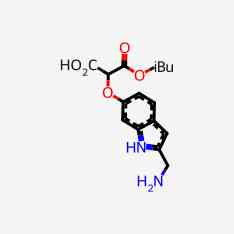 CCC(C)OC(=O)C(Oc1ccc2cc(CN)[nH]c2c1)C(=O)O